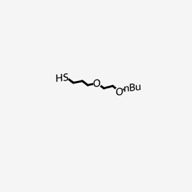 CCCCOCCOCCCS